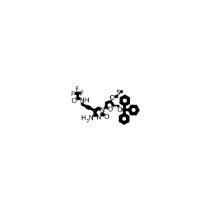 CSCO[C@H]1C[C@H](n2cc(C#CCNC(=O)C(F)(F)F)c(N)nc2=O)O[C@@H]1COC(c1ccccc1)(c1ccccc1)c1ccccc1